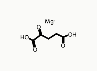 O=C(O)CCC(=O)C(=O)O.[Mg]